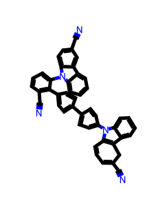 N#CC1=CC=Cc2c(c3ccccc3n2-c2ccc(-c3ccc(-c4c(C#N)cccc4-n4c5ccccc5c5cc(C#N)ccc54)cc3)cc2)C1